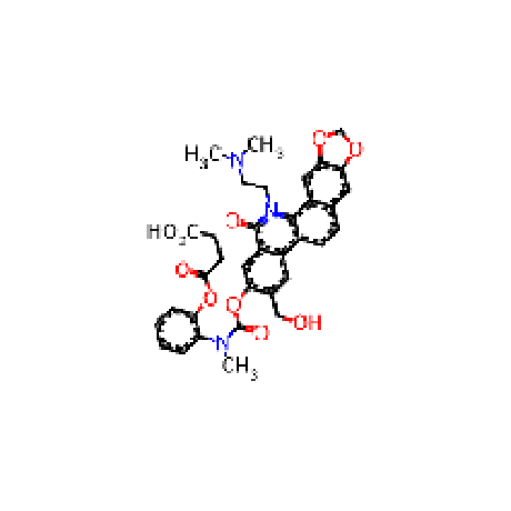 CN(C)CCn1c(=O)c2cc(OC(=O)N(C)c3ccccc3OC(=O)CCC(=O)O)c(CO)cc2c2ccc3cc4c(cc3c21)OCO4